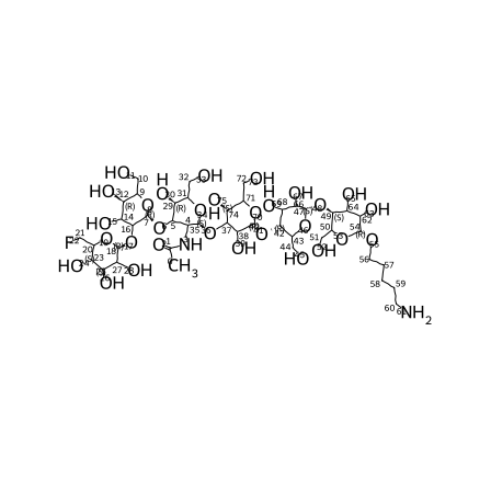 CC(=O)NC1C(O[C@@H]2OC(CO)[C@H](O)C(O)C2O[C@@H]2OC(CF)[C@@H](O)[C@H](O)C2O)[C@@H](O)C(CO)O[C@H]1OC1C(O)[C@@H](O[C@H]2C(CO)O[C@@H](O[C@@H]3C(CO)O[C@@H](OCCCCCN)C(O)C3O)C(O)C2O)OC(CO)[C@@H]1O